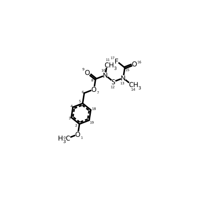 COc1ccc(COC(=O)N(C)SN(C)C(=O)F)cc1